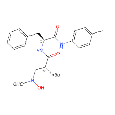 CCCC[C@H](CN(O)C=O)C(=O)N[C@@H](Cc1ccccc1)C(=O)Nc1ccc(C)cc1